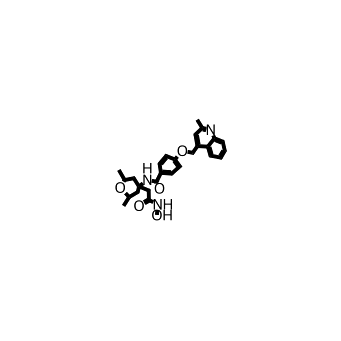 Cc1cc(COc2ccc(C(=O)NC3(CC(=O)NO)CC(C)OC(C)C3)cc2)c2ccccc2n1